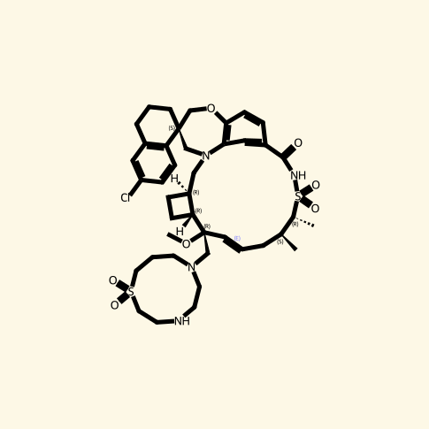 CO[C@@]1(CN2CCCS(=O)(=O)CCNCC2)/C=C/C[C@H](C)[C@@H](C)S(=O)(=O)NC(=O)c2ccc3c(c2)N(C[C@@H]2CC[C@H]21)C[C@@]1(CCCc2cc(Cl)ccc21)CO3